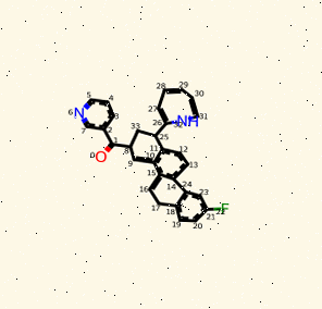 O=C(c1cccnc1)C1C=c2c(ccc3c2=CCc2ccc(F)cc2-3)C(C2=CC=CC=CN2)C1